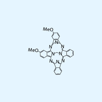 COc1ccc2c(c1)/C1=N/c3c4cc(OC)ccc4c4n3Cn3/c(c5ccccc5/c3=N/C2=N1)=N\C1=NC(=N\4)/c2ccccc21